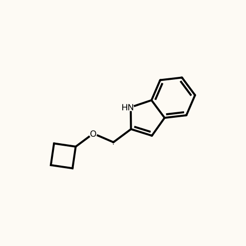 [CH](OC1CCC1)c1cc2ccccc2[nH]1